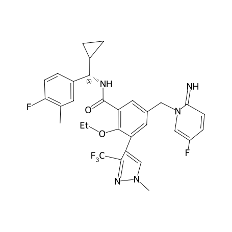 CCOc1c(C(=O)N[C@H](c2ccc(F)c(C)c2)C2CC2)cc(Cn2cc(F)ccc2=N)cc1-c1cn(C)nc1C(F)(F)F